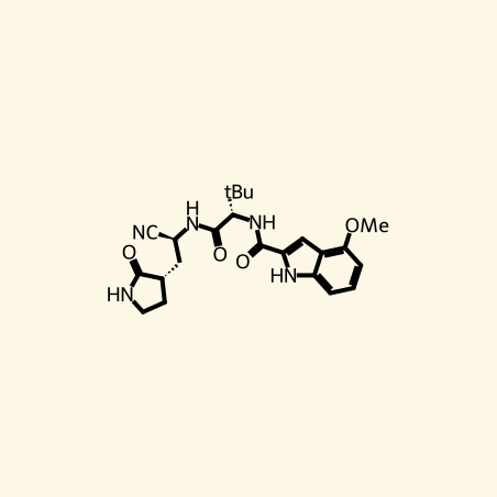 COc1cccc2[nH]c(C(=O)N[C@H](C(=O)N[C@H](C#N)C[C@@H]3CCNC3=O)C(C)(C)C)cc12